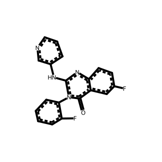 O=c1c2cc(F)ccc2nc(Nc2cccnc2)n1-c1ccccc1F